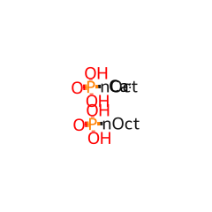 CCCCCCCCP(=O)(O)O.CCCCCCCCP(=O)(O)O.[Ca]